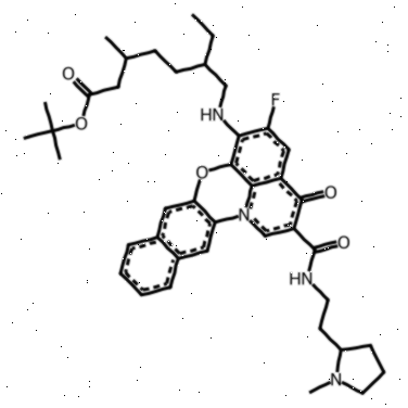 CCC(CCC(C)CC(=O)OC(C)(C)C)CNc1c(F)cc2c(=O)c(C(=O)NCCC3CCCN3C)cn3c2c1Oc1cc2ccccc2cc1-3